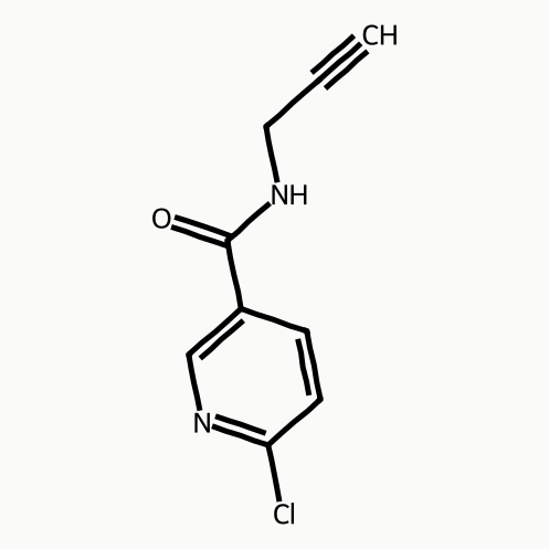 C#CCNC(=O)c1ccc(Cl)nc1